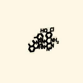 C=C1c2c(C)cccc2C=C(CNc2ncnc(N)c2C(=N)c2ccc(Cl)c(O)c2)N1c1ncccc1C